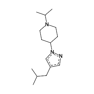 CC(C)Cc1cnn(C2CCN(C(C)C)CC2)c1